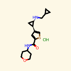 Cl.O=C(NC1CCOCC1)c1cc([C@H]2C[C@@H]2NCC2CC2)cs1